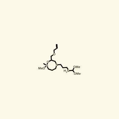 C=CCOCC1CN(CCC[SiH2]C(OC)OC)CCC[Si](C)(OC)O1